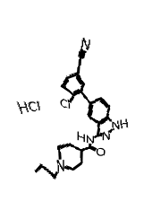 CCCN1CCC(C(=O)Nc2n[nH]c3ccc(-c4cc(C#N)ccc4Cl)cc23)CC1.Cl